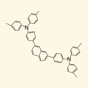 Cc1ccc(N(c2ccc(C)cc2)c2ccc(-c3ccc4ccc(-c5ccc(N(c6ccc(C)cc6)c6ccc(C)cc6)cc5)cc4c3)cc2)cc1